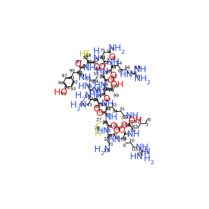 CCCC[C@H](NC(=O)[C@H](CCCNC(=N)N)NC(=O)[C@H](CCN)NC(=O)[C@H](CS)NC(=O)[C@H](CCCCN)NC(=O)[C@@H](CCN)NC(=O)[C@@H](NC(=O)[C@H](CCCNC(=N)N)NC(=O)[C@H](CCCNC(=N)N)NC(=O)[C@H](CC(N)=O)NC(=O)[C@H](CS)NC(=O)[C@@H](N)Cc1ccc(O)cc1)[C@@H](C)O)C(=O)O